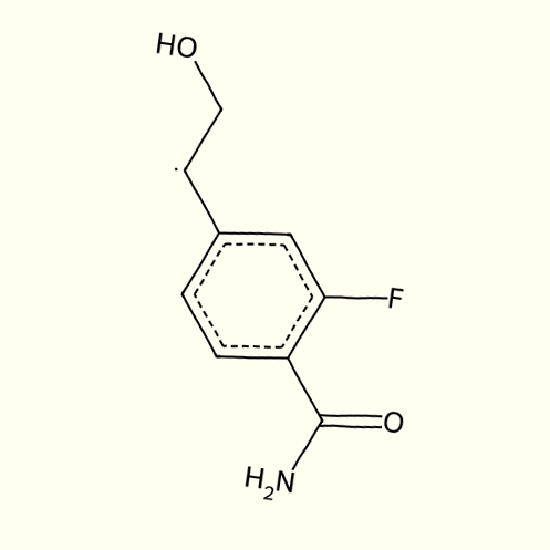 NC(=O)c1ccc([CH]CO)cc1F